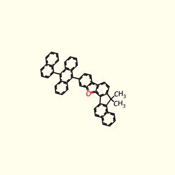 CC1(C)c2ccc3c(oc4cc(-c5c6ccccc6c(-c6cccc7ccccc67)c6ccccc56)ccc43)c2-c2ccc3ccccc3c21